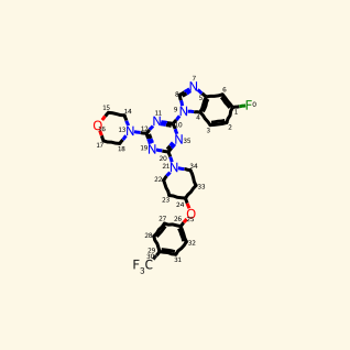 Fc1ccc2c(c1)ncn2-c1nc(N2CCOCC2)nc(N2CCC(Oc3ccc(C(F)(F)F)cc3)CC2)n1